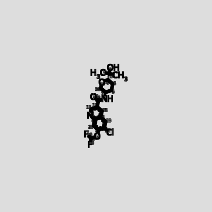 CC(C)(O)[C@@H]1CC[C@@H](NC(=O)c2cnc3cc(OC(F)F)c(Cl)cc3c2)CO1